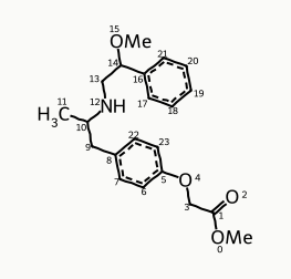 COC(=O)COc1ccc(CC(C)NCC(OC)c2ccccc2)cc1